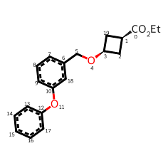 CCOC(=O)[C@H]1C[C@@H](OCc2cccc(Oc3ccccc3)c2)C1